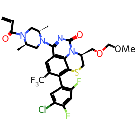 C=CC(=O)N1C[C@H](C)N(c2nc(=O)n3c4c(c(-c5cc(Cl)c(F)cc5F)c(C(F)(F)F)cc24)SC[C@@H]3COCOC)C[C@H]1C